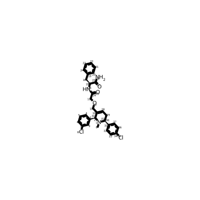 CN1[C@@H](c2cccc(Cl)c2)C(COCC(=O)N[C@@H](Cc2ccccc2)C(N)=O)=CC[C@H]1c1ccc(Cl)cc1